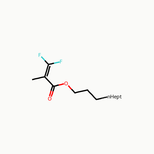 CCCCCCCCCCOC(=O)C(C)=C(F)F